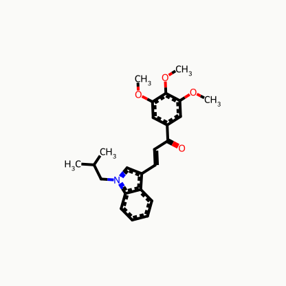 COc1cc(C(=O)C=Cc2cn(CC(C)C)c3ccccc23)cc(OC)c1OC